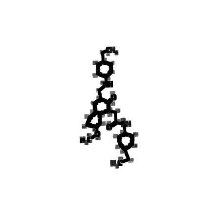 CCc1ccc(NCc2cc3ccc(OC)cc3n(CC(=O)Nc3ccc(CC)cc3)c2=O)cc1